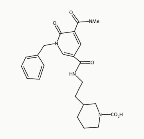 CNC(=O)c1cc(C(=O)NCCC2CCCN(C(=O)O)C2)cn(Cc2ccccc2)c1=O